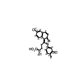 CCN(CCc1c2c(ccc3cc(Cl)ccc32)nn1-c1ccc(F)c(Cl)c1)C(=O)O